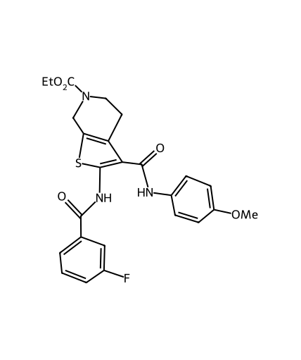 CCOC(=O)N1CCc2c(sc(NC(=O)c3cccc(F)c3)c2C(=O)Nc2ccc(OC)cc2)C1